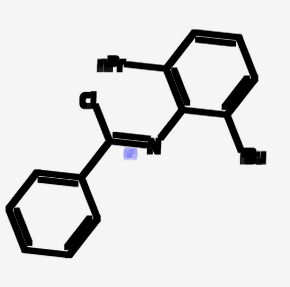 CCCc1cccc(C(C)CC)c1/N=C(\Cl)c1ccccc1